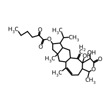 C=C1C2CC3C(C(C)C)C(OC(=O)C(=O)CCCC)CC3(C)CC2/C(C)=C\CC2C(C)OC(=O)C(O)C12O